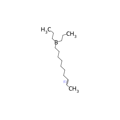 C/C=C/CCCCCCCB(CCC)CCC